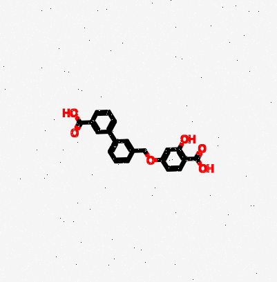 O=C(O)c1cccc(-c2cccc(COc3ccc(C(=O)O)c(O)c3)c2)c1